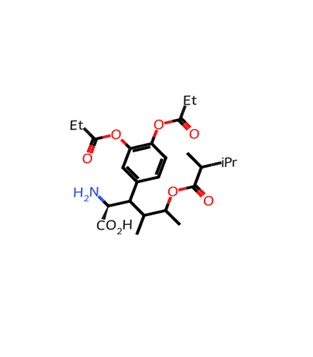 CCC(=O)Oc1ccc(C(C(C)C(C)OC(=O)C(C)C(C)C)[C@H](N)C(=O)O)cc1OC(=O)CC